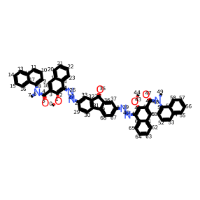 COc1c(C(=O)N(C)c2cccc3ccccc23)cc2ccccc2c1N=Nc1ccc2c(c1)C(=O)c1cc(N=Nc3c(OC)c(C(=O)N(C)c4cccc5ccccc45)cc4ccccc34)ccc1-2